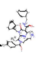 Cc1ccc(C(=O)N(CCCN)C(c2nc(C)c(C(=O)NCc3ccccc3)c(=O)n2Cc2ccccc2)C(C)C)cc1